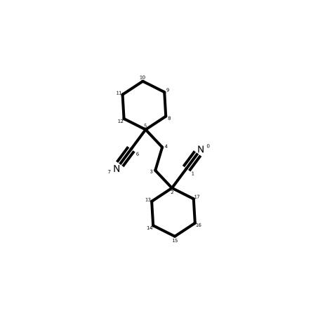 N#CC1(CCC2(C#N)CCCCC2)CCCCC1